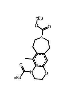 CCCCC(=O)N1CCOc2cc3c(c(C)c21)CCN(C(=O)OC(C)(C)C)CC3